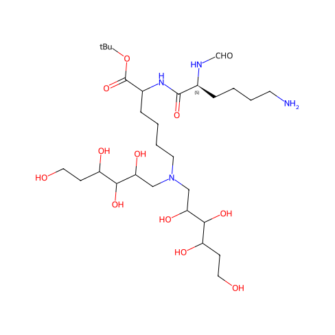 CC(C)(C)OC(=O)C(CCCCN(CC(O)C(O)C(O)CCO)CC(O)C(O)C(O)CCO)NC(=O)[C@H](CCCCN)NC=O